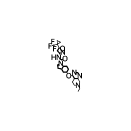 CCN1CCc2c(ncnc2Oc2ccc3c(ccn3C(=O)Nc3cc(C4(C(F)(F)F)CC4)on3)c2)C1